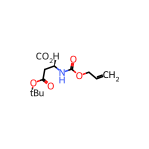 C=CCOC(=O)N[C@@H](CC(=O)OC(C)(C)C)C(=O)O